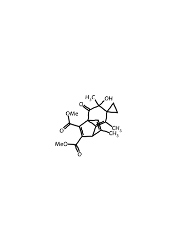 COC(=O)C1=C(C(=O)OC)C23C=C(C)C1C2=C(C)C1(CC1)C(C)(O)C3=O